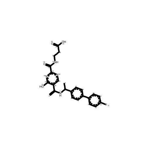 C=C(NC(C)c1ccc(-c2ccc(F)cc2)cc1)c1cnc(C(=O)NCCC(=O)O)nc1O